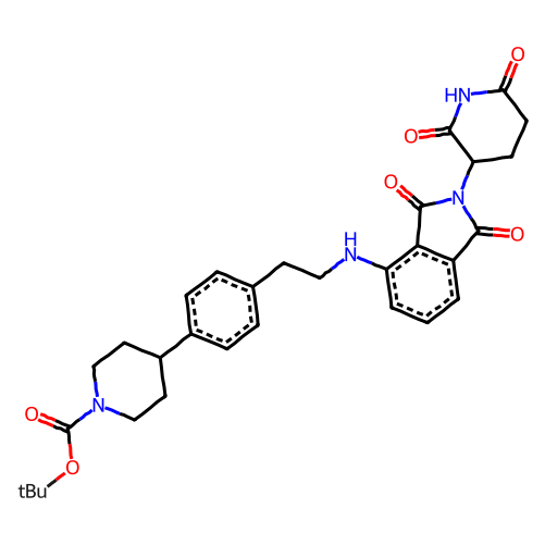 CC(C)(C)OC(=O)N1CCC(c2ccc(CCNc3cccc4c3C(=O)N(C3CCC(=O)NC3=O)C4=O)cc2)CC1